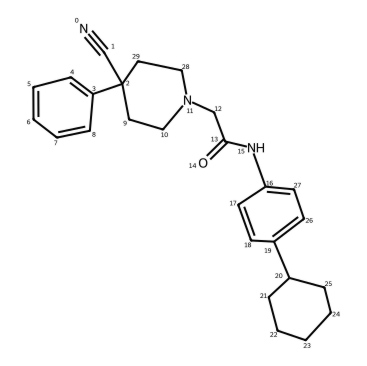 N#CC1(c2ccccc2)CCN(CC(=O)Nc2ccc(C3CCCCC3)cc2)CC1